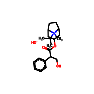 CC(C)[N+]1(C)C2CCC1CC(OC(=O)C(CO)c1ccccc1)C2.[OH-]